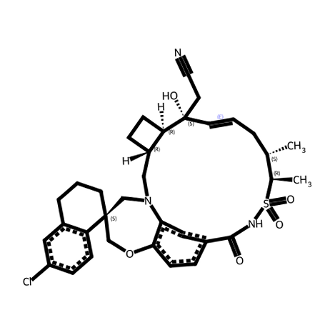 C[C@@H]1[C@@H](C)C/C=C/[C@](O)(CC#N)[C@@H]2CC[C@H]2CN2C[C@@]3(CCCc4cc(Cl)ccc43)COc3ccc(cc32)C(=O)NS1(=O)=O